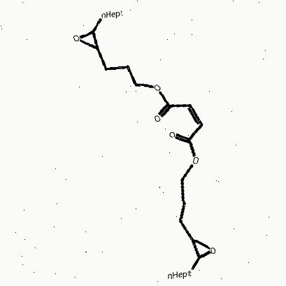 CCCCCCCC1OC1CCCOC(=O)/C=C\C(=O)OCCCC1OC1CCCCCCC